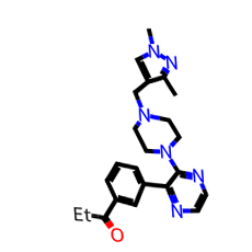 CCC(=O)c1cccc(-c2nccnc2N2CCN(Cc3cn(C)nc3C)CC2)c1